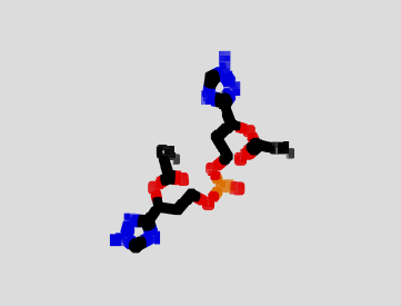 CC(=O)OC(CCO[PH](=O)OCCC(OC(C)=O)c1nc[nH]n1)c1nc[nH]n1